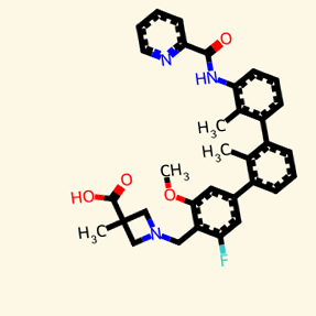 COc1cc(-c2cccc(-c3cccc(NC(=O)c4ccccn4)c3C)c2C)cc(F)c1CN1CC(C)(C(=O)O)C1